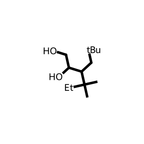 CCC(C)(C)C(CC(C)(C)C)C(O)CO